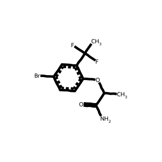 CC(Oc1ccc(Br)cc1C(C)(F)F)C(N)=O